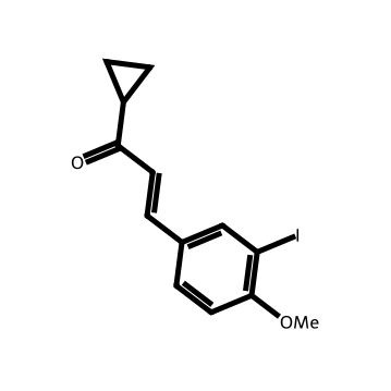 COc1ccc(C=CC(=O)C2CC2)cc1I